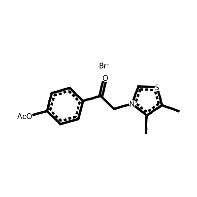 CC(=O)Oc1ccc(C(=O)C[n+]2csc(C)c2C)cc1.[Br-]